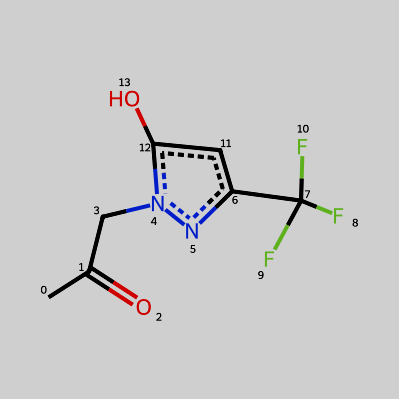 CC(=O)Cn1nc(C(F)(F)F)cc1O